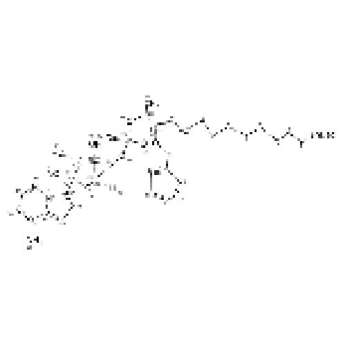 CCCCCCCCCCCCCCCCCCOC[C@@H](OCc1ccccc1)C(C)OP(=O)(O)OC1[C@H]2O[C@@](C#N)(c3ccc4c(N)ncnn34)[C@H](O)[C@@]12O